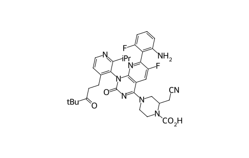 CC(C)c1nccc(CCC(=O)C(C)(C)C)c1-n1c(=O)nc(N2CCN(C(=O)O)C(CC#N)C2)c2cc(F)c(-c3c(N)cccc3F)nc21